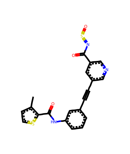 Cc1ccsc1C(=O)Nc1cccc(C#Cc2cncc(C(=O)N=S=O)c2)c1